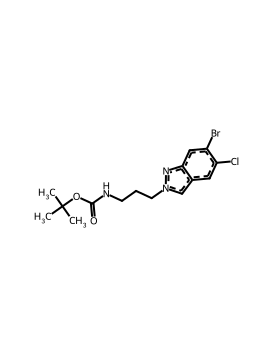 CC(C)(C)OC(=O)NCCCn1cc2cc(Cl)c(Br)cc2n1